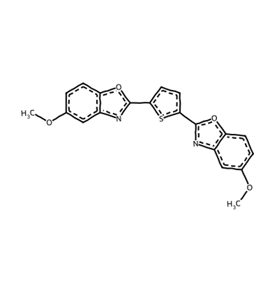 COc1ccc2oc(-c3ccc(-c4nc5cc(OC)ccc5o4)s3)nc2c1